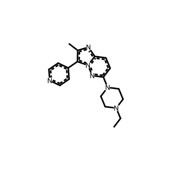 CCN1CCN(c2ccc3nc(C)c(-c4ccncc4)n3n2)CC1